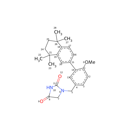 COc1ccc(CN2CC(=O)NC2=O)cc1-c1ccc2c(c1)C(C)(C)CCC2(C)C